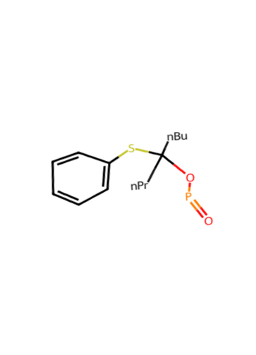 CCCCC(CCC)(OP=O)Sc1ccccc1